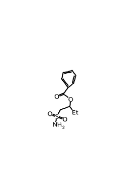 CCC(CS(N)(=O)=O)OC(=O)c1ccccc1